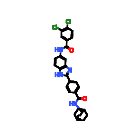 O=C(Nc1ccc2[nH]c(-c3ccc(C(=O)NC4CC5CCC4CC5)cc3)nc2c1)c1ccc(Cl)c(Cl)c1